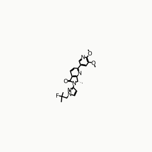 COc1cc(-c2ccc3c(n2)[C@H](C)N(c2ccn(CC(C)(C)F)n2)C3=O)cnc1OC